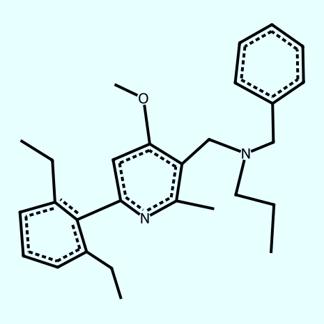 CCCN(Cc1ccccc1)Cc1c(OC)cc(-c2c(CC)cccc2CC)nc1C